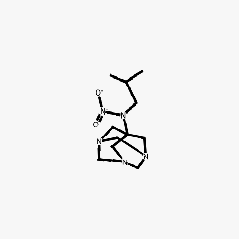 CC(C)CN([N+](=O)[O-])C12CN3CN(CN(C3)C1)C2